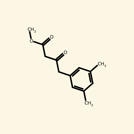 COC(=O)CC(=O)Cc1cc(C)cc(C)c1